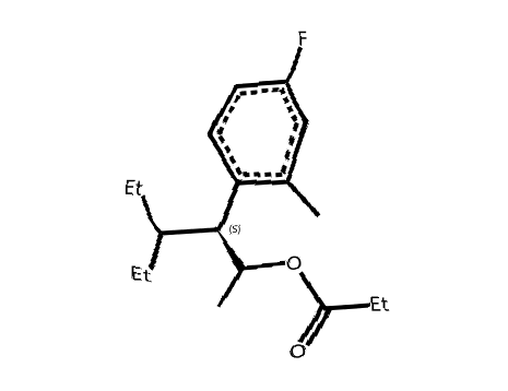 CCC(=O)OC(C)[C@H](c1ccc(F)cc1C)C(CC)CC